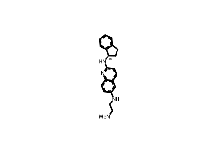 CNCCNc1ccc2nc(N[C@@H]3CCc4ccccc43)ccc2c1